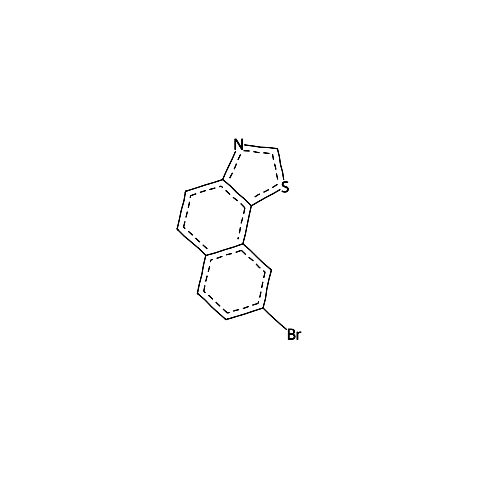 Brc1ccc2ccc3ncsc3c2c1